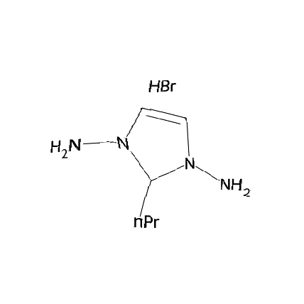 Br.CCCC1N(N)C=CN1N